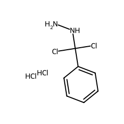 Cl.Cl.NNC(Cl)(Cl)c1ccccc1